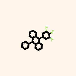 Fc1cc(-c2c3ccccc3c(-c3ccccc3)c3ccccc23)cc(F)c1F